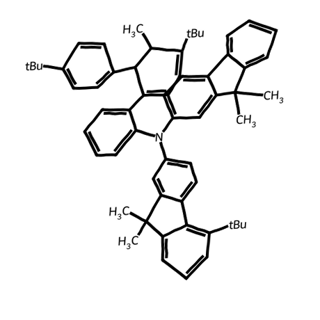 CC1C(C(C)(C)C)=CC=C(c2ccccc2N(c2ccc3c(c2)C(C)(C)c2ccccc2-3)c2ccc3c(c2)C(C)(C)c2cccc(C(C)(C)C)c2-3)C1c1ccc(C(C)(C)C)cc1